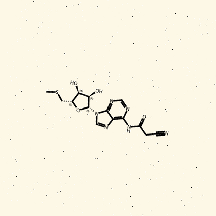 CSC[C@H]1O[C@@H](n2cnc3c(NC(=O)CC#N)ncnc32)[C@H](O)[C@@H]1O